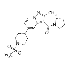 Cc1nn2ccc(C3CCN(S(C)(=O)=O)CC3)cc2c1C(=O)N1CCCC1